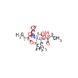 C=CC(=O)OC(C)C(CO)(N=C=O)C(C)OC(=O)C=C